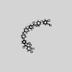 N#Cc1ccc(OC2CCC(NC(=O)c3ccc(N4CCC(CN5CCN(c6ccc7c(c6)C(=O)N(C6CCC(=O)NC6=O)C7=O)CC5)CC4)cn3)CC2)cc1Cl